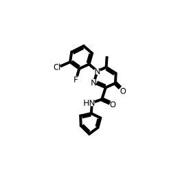 Cc1cc(=O)c(C(=O)Nc2ccccc2)nn1-c1cccc(Cl)c1F